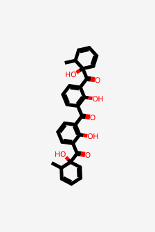 CC1C=CC=CC1(O)C(=O)c1cccc(C(=O)c2cccc(C(=O)C3(O)C=CC=CC3C)c2O)c1O